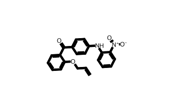 C=CCOc1ccccc1C(=O)c1ccc(Nc2ccccc2[N+](=O)[O-])cc1